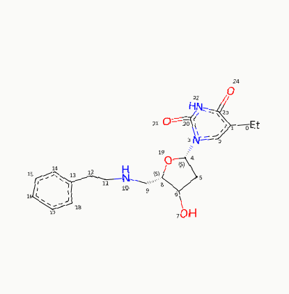 CCc1cn([C@@H]2CC(O)[C@H](CNCCc3ccccc3)O2)c(=O)[nH]c1=O